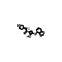 Cl.O=C(NC1CCNC1)[C@H]1C[C@H](Oc2cccc3scnc23)C1